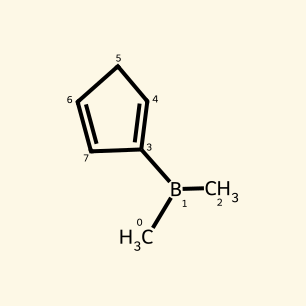 CB(C)C1=CCC=C1